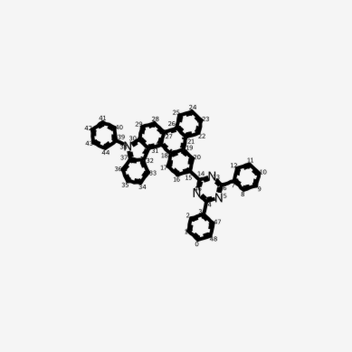 c1ccc(-c2nc(-c3ccccc3)nc(-c3ccc4c(c3)c3ccccc3c3ccc5c(c6ccccc6n5-c5ccccc5)c34)n2)cc1